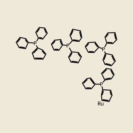 [Ru].c1ccc(P(c2ccccc2)c2ccccc2)cc1.c1ccc(P(c2ccccc2)c2ccccc2)cc1.c1ccc(P(c2ccccc2)c2ccccc2)cc1.c1ccc(P(c2ccccc2)c2ccccc2)cc1